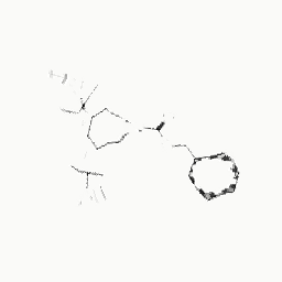 CC(C)(O)[C@@H]1C[C@@H](C(C)(C)O)CN(C(=O)OCc2ccccc2)C1